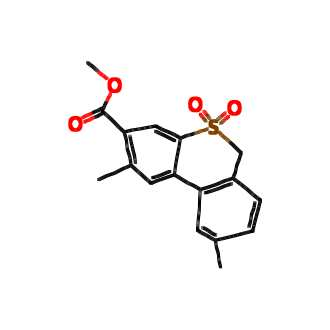 COC(=O)c1cc2c(cc1C)-c1cc(C)ccc1CS2(=O)=O